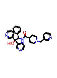 O=C(N[C@H](c1ccccc1)C(O)(c1cccnc1)c1cccnc1)C1CCN(Cc2cccnc2)CC1